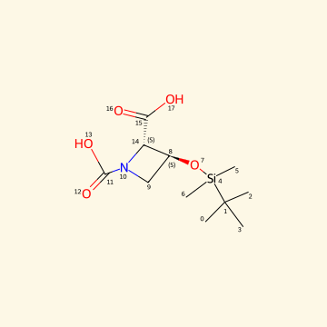 CC(C)(C)[Si](C)(C)O[C@H]1CN(C(=O)O)[C@@H]1C(=O)O